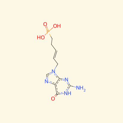 Nc1nc2c(ncn2CC=CCCP(=O)(O)O)c(=O)[nH]1